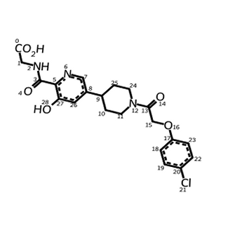 O=C(O)CNC(=O)c1ncc(C2CCN(C(=O)COc3ccc(Cl)cc3)CC2)cc1O